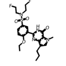 CCCc1cn(C)c2c(=O)[nH]c(-c3cc(S(=O)(=O)N(CCF)CCF)ccc3OCC)nc12